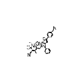 CCN1C(=O)C(C#N)=C(C)/C(=C/c2nc3sc(-c4ccc(C#N)cc4)cc3n2-c2ccccc2)C1=O